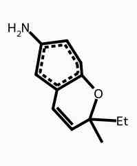 CCC1(C)C=Cc2cc(N)ccc2O1